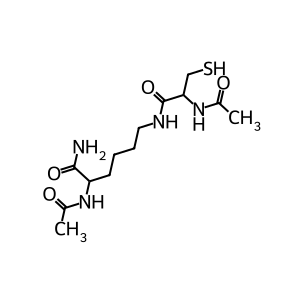 CC(=O)NC(CCCCNC(=O)C(CS)NC(C)=O)C(N)=O